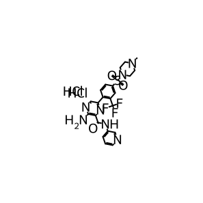 CN1CCN(S(=O)(=O)c2ccc(-c3cnc(N)c(C(=O)Nc4cccnc4)n3)c(C(F)(F)F)c2)CC1.Cl.Cl